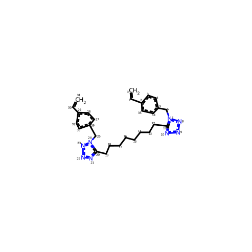 C=Cc1ccc(Cn2nnnc2CCCCCCCCc2nnnn2Cc2ccc(C=C)cc2)cc1